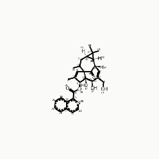 CC1=CC23C(=O)[C@@H](C=C(CO)[C@@H](O)[C@]2(O)[C@H]1OC(=O)c1nccc2ccccc12)[C@H]1[C@@H](CC3C)C1(C)C